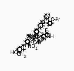 CC(C)Oc1ccccc1[C@@H]1COCCN1C1CC2(CCN(c3ccc(C(=O)NS(=O)(=O)c4ccc(NCC5CCC(C)(O)CC5)c([N+](=O)[O-])c4)c(N4c5cc6c(F)c[nH]c6nc5O[C@H]5COCC[C@@H]54)c3)CC2)C1